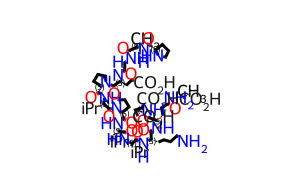 CC(=O)O.CC(C)C[C@H](NC(=O)[C@@H]1CCCN1C(=O)[C@@H](NC(=O)[C@@H]1CCCN1C(=O)[C@H](CCC(=O)O)NC(=O)CNC(=O)[C@H](C)NC(=O)[C@@H]1CCCN1)C(C)C)C(=O)N[C@H](C(=O)N[C@@H](CCCCN)C(=O)N[C@@H](CCC(N)=O)C(=O)N[C@@H](CC(=O)O)C(=O)O)C(C)C